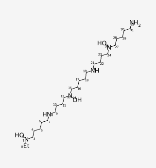 CCN(O)CCCCCNCCCCN(O)CCCCCNCCCCN(O)CCCCCN